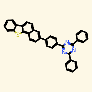 c1ccc(-c2nc(-c3ccccc3)nc(-c3ccc(-c4ccc5c(ccc6c7ccccc7sc56)c4)cc3)n2)cc1